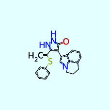 C=C(Sc1ccccc1)c1[nH][nH]c(=O)c1-c1cn2c3c(cccc13)CCC2